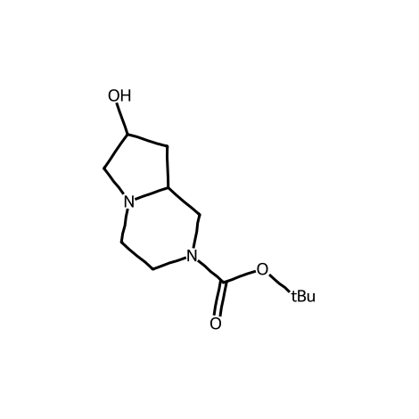 CC(C)(C)OC(=O)N1CCN2CC(O)CC2C1